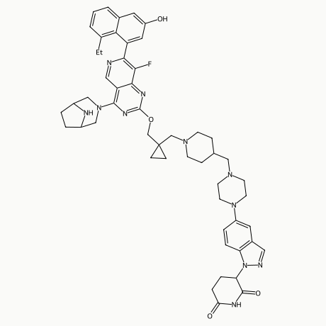 CCc1cccc2cc(O)cc(-c3ncc4c(N5CC6CCC(C5)N6)nc(OCC5(CN6CCC(CN7CCN(c8ccc9c(cnn9C9CCC(=O)NC9=O)c8)CC7)CC6)CC5)nc4c3F)c12